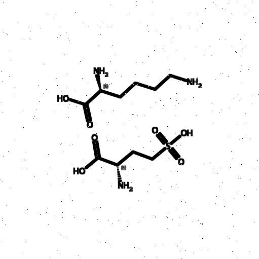 NCCCC[C@H](N)C(=O)O.N[C@@H](CCS(=O)(=O)O)C(=O)O